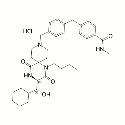 CCCCN1C(=O)[C@@H]([C@H](O)C2CCCCC2)NC(=O)C12CCN(Cc1ccc(Cc3ccc(C(=O)NC)cc3)cc1)CC2.Cl